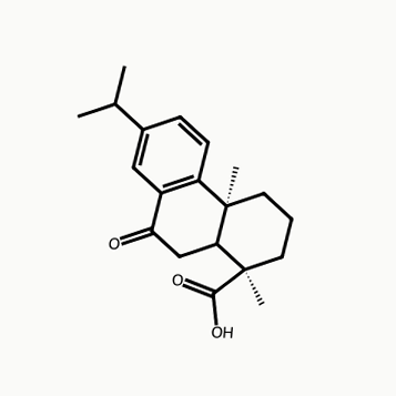 CC(C)c1ccc2c(c1)C(=O)CC1[C@](C)(C(=O)O)CCC[C@]21C